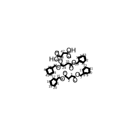 O=C(CCC(=O)OCc1ccccc1)OCc1ccccc1.O=C(CCC(=O)OCc1ccccc1)OCc1ccccc1.O=C(O)CCC(=O)O